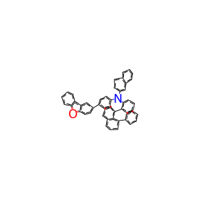 c1ccc(-c2cccc3cccc(-c4ccccc4N(c4ccc(-c5ccc6oc7ccccc7c6c5)cc4)c4ccc5ccccc5c4)c23)cc1